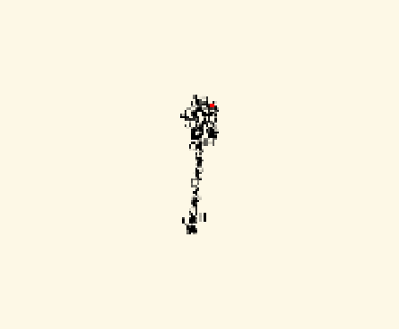 COC(=O)C1OC(Oc2ccc(NC(=O)COCCOCCOCCOCCONC(=O)OC(C)(C)C)cc2CO[Si](C)(C)C(C)(C)C)C(OC(C)=O)C(OC(C)=O)C1OC(C)=O